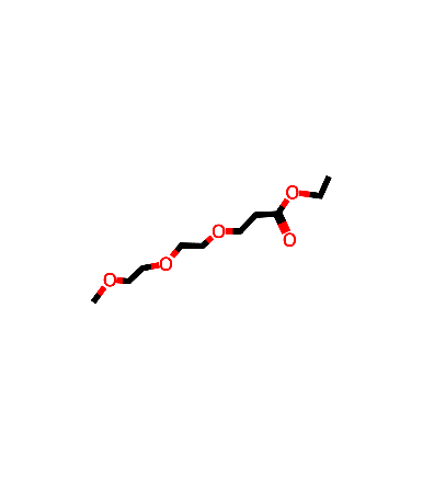 CCOC(=O)CCOCCOCCOC